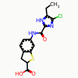 CCc1[nH]c(C(=O)Nc2ccc3c(c2)SC(C(=O)O)C3)nc1Cl